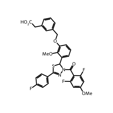 COc1cc(F)c(C(=O)N2N=C(c3ccc(F)cc3)SC2c2cccc(OCc3cccc(CC(=O)O)c3)c2OC)c(F)c1